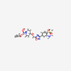 CN(C)c1cc(-c2noc(COC3CCN(C(=O)OC(C)(C)C)CC3)n2)ccc1S(C)(=O)=O